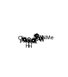 CNc1nccc(-c2cccnc2Oc2ccc(NC(=O)Nc3ccc(Cl)c(F)c3)cc2C)n1